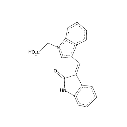 O=C(O)Cn1cc(C=C2C(=O)Nc3ccccc32)c2ccccc21